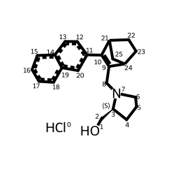 Cl.OC[C@@H]1CCCN1CC1=C(c2ccc3ccccc3c2)C2CCC1C2